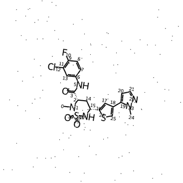 CN1[C@H](C(=O)Nc2ccc(F)c(Cl)c2)C[C@H](c2cc(-c3ccnn3C)cs2)NS1(=O)=O